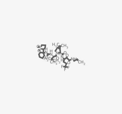 C=CCNC(=O)C(=O)C(CCC(F)(F)F)NC(=O)[C@@H]1C2C(CN1C(=O)[C@@H](NC(=O)NC1(C3CCCS3(=O)=O)CCCCC1)C(C)(C)C)C2(C)C